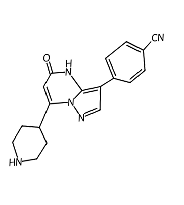 N#Cc1ccc(-c2cnn3c(C4CCNCC4)cc(=O)[nH]c23)cc1